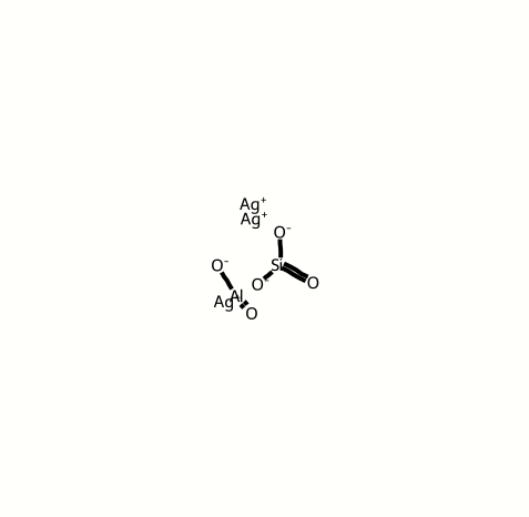 O=[Si]([O-])[O-].[Ag+].[Ag+].[Ag+].[O]=[Al][O-]